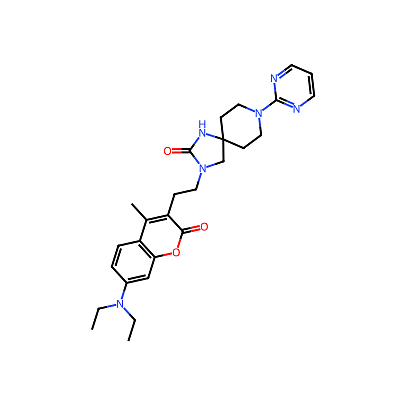 CCN(CC)c1ccc2c(C)c(CCN3CC4(CCN(c5ncccn5)CC4)NC3=O)c(=O)oc2c1